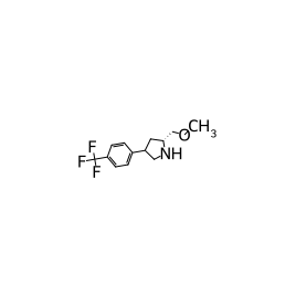 COC[C@H]1CC(c2ccc(C(F)(F)F)cc2)CN1